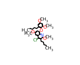 CCCCCc1cc(OC)cc(OC)c1Oc1cc(OC)cc2c(Cl)c(CCCCC)c(OC)nc12